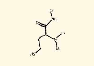 CCNC(=O)C(CCS)N(CC)CC